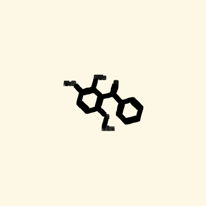 CCCCCCOc1ccc(OC)c(OC)c1C(=O)c1ccccc1